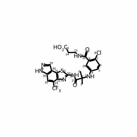 CC(C)(Nc1ccc(Cl)c(C(=O)NCCC(=O)O)c1)C(=O)Nc1nc2c(C(F)(F)F)cc3[nH]ncc3c2s1